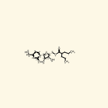 CCCC(CCC)C(=O)OC[C@H]1O[C@@H](n2ccc(NO)nc2=O)[C@H](O)[C@@H]1O